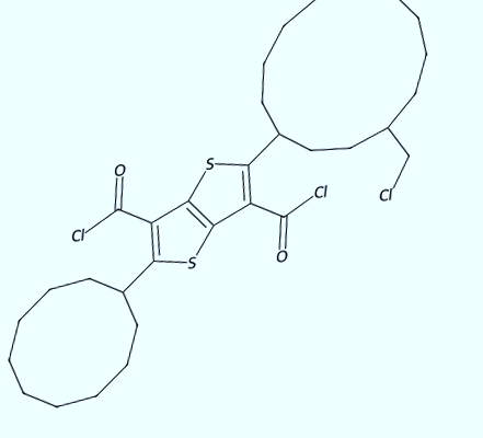 O=C(Cl)c1c(C2CCCCCCCCC2)sc2c(C(=O)Cl)c(C3CCCCCCCCCC(CCl)CC3)sc12